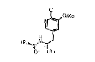 COc1cc(C[C@H](N[S+]([O-])C(C)(C)C)C(C)(C)C)cnc1Cl